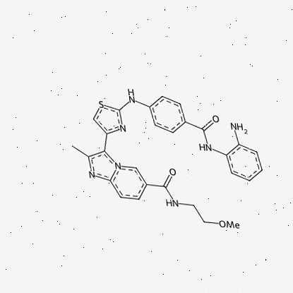 COCCNC(=O)c1ccc2nc(C)c(-c3csc(Nc4ccc(C(=O)Nc5ccccc5N)cc4)n3)n2c1